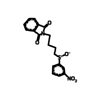 O=C1c2ccccc2C(=O)N1CCCC[S+]([O-])c1cccc([N+](=O)[O-])c1